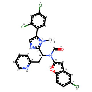 Cn1c(-c2ccc(Cl)cc2Cl)cnc1[C@H](Cc1ccccn1)N(C=O)c1cc2cc(Cl)ccc2o1